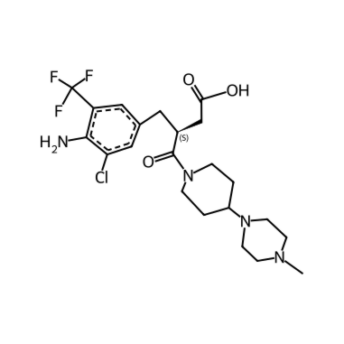 CN1CCN(C2CCN(C(=O)[C@H](CC(=O)O)Cc3cc(Cl)c(N)c(C(F)(F)F)c3)CC2)CC1